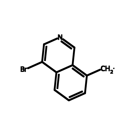 [CH2]c1cccc2c(Br)cncc12